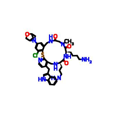 CN1CC(=O)NCc2cc(N3CC4CC3CO4)cc(Cl)c2Sc2nccc(Cc3c[nH]c4ccccc34)c2CN[C@@H](CCCN)C(=O)N[C@@H](CCCCN)C1=O